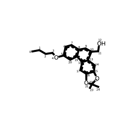 CCCCOc1ccc2cc(CO)c3cc4c(cc3c2c1)OC(C)(C)O4